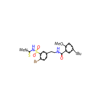 CNC(=S)NS(=O)(=O)c1cc(CCNC(=O)c2cc(C(C)(C)C)ccc2OC)ccc1Br